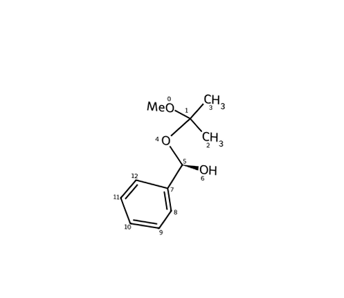 COC(C)(C)O[C@@H](O)c1ccccc1